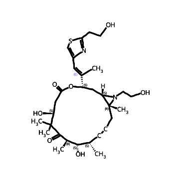 C/C(=C\c1csc(CCO)n1)[C@@H]1C[C@@H]2N(CCO)[C@]2(C)CCC[C@H](C)[C@H](O)[C@@H](C)C(=O)C(C)(C)[C@@H](O)CC(=O)O1